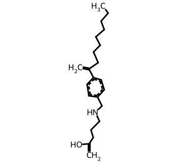 C=C(O)CCCNCc1ccc(C(=C)CCCCCCCC)cc1